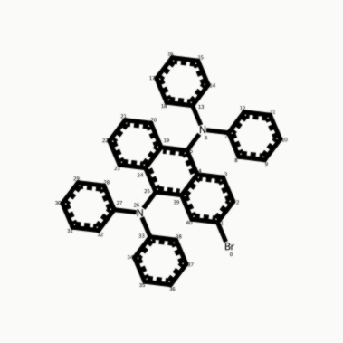 Brc1ccc2c(N(c3ccccc3)c3ccccc3)c3ccccc3c(N(c3ccccc3)c3ccccc3)c2c1